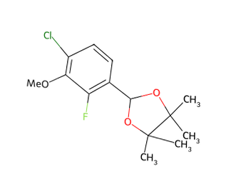 COc1c(Cl)ccc(C2OC(C)(C)C(C)(C)O2)c1F